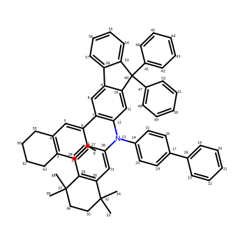 Cc1cc2c(cc1-c1cc3c(cc1N(c1ccc(-c4ccccc4)cc1)c1ccc4c(c1)C(C)(C)CCC4(C)C)C(c1ccccc1)(c1ccccc1)c1ccccc1-3)CCCC2